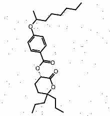 CCCCCCC(C)Oc1ccc(C(=O)O[C@H]2CCC(CCC)(CCC)OC2=O)cc1